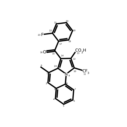 Cc1cc2ccccc2n2c(C(F)(F)F)c(C(=O)O)c(C(=O)c3ccccc3F)c12